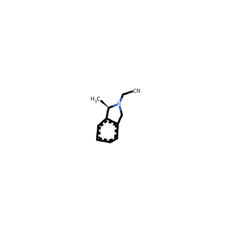 C[C@@H]1c2ccccc2CN1CC#N